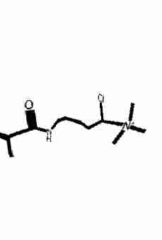 C=C(C)C(=O)NCCC(Cl)[N+](C)(C)C